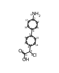 Nc1ccc(-c2ccc(C(Cl)C(=O)O)cc2)cc1